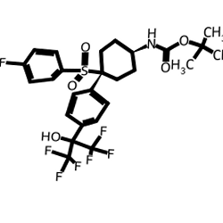 CC(C)(C)OC(=O)N[C@H]1CC[C@](c2ccc(C(O)(C(F)(F)F)C(F)(F)F)cc2)(S(=O)(=O)c2ccc(F)cc2)CC1